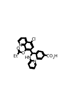 CCC(=O)Oc1c(C(Nc2ccccn2)c2ccc(C(=O)O)cc2)cc(Cl)c2cccnc12